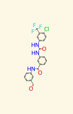 O=Cc1cccc(NC(=O)c2cccc(NC(=O)Nc3ccc(Cl)c(C(F)(F)F)c3)c2)c1